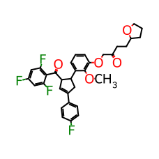 COc1c(OCC(=O)CCC2CCCO2)cccc1C1CC(c2ccc(F)cc2)=CC1C(=O)c1c(F)cc(F)cc1F